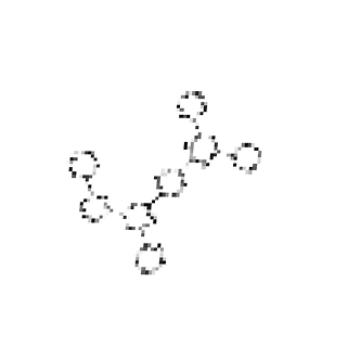 c1ccc(-c2cccc(-c3cc(-c4ccccn4)nc(-c4ccc(-c5nc(-c6ccccc6)cc(-c6ccccc6)n5)cn4)c3)c2)cc1